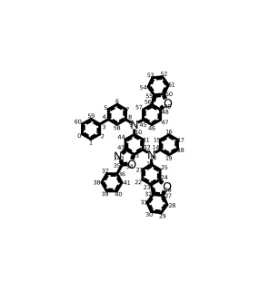 c1ccc(-c2cccc(N(c3cc(N(c4ccccc4)c4ccc5c(c4)oc4ccccc45)c4oc(-c5ccccc5)nc4c3)c3ccc4oc5ccccc5c4c3)c2)cc1